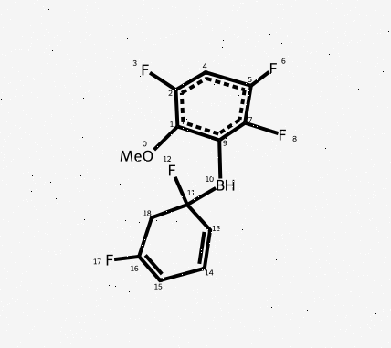 COc1c(F)cc(F)c(F)c1BC1(F)C=CC=C(F)C1